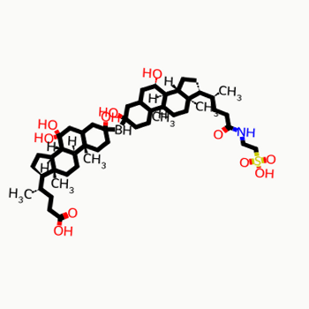 C[C@H](CCC(=O)NCCS(=O)(=O)O)[C@H]1CC[C@H]2[C@@H]3[C@@H](O)CC4CC(O)(BC5(O)CC[C@@]6(C)C(C5)CC(O)(O)[C@H]5[C@@H]7CC[C@H]([C@@H](C)CCC(=O)O)[C@@]7(C)CC[C@@H]56)CC[C@]4(C)[C@H]3CC[C@]12C